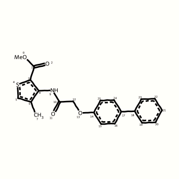 COC(=O)c1scc(C)c1NC(=O)COc1ccc(-c2ccccc2)cc1